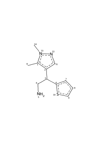 Cc1c(C(CN)c2cccs2)cnn1C